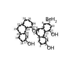 Oc1ccc2ccc3cccc(O)c3c2n1.Oc1ccc2ccc3cccc(O)c3c2n1.[BeH2]